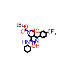 CC(C)(C)OC(=O)N1CCc2c(-c3ccc(C(F)(F)F)cc3O)nnc(N[C@@H]3CCCC[C@H]3O)c2C1